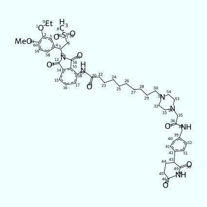 CCOc1cc(C(CS(C)(=O)=O)N2C(=O)c3cccc(NC(=O)CCCCCCCCCN4CCN(CC(=O)Nc5ccc(C6CCC(=O)NC6=O)cc5)CC4)c3C2=O)ccc1OC